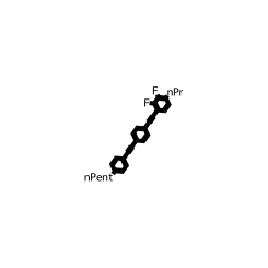 CCCCCc1ccc(C#Cc2ccc(C#Cc3ccc(CCC)c(F)c3F)cc2)cc1